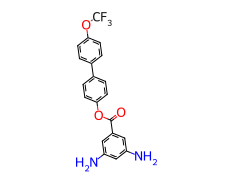 Nc1cc(N)cc(C(=O)Oc2ccc(-c3ccc(OC(F)(F)F)cc3)cc2)c1